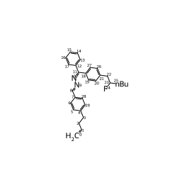 C=CCCc1ccc(C=NN=C(c2ccccc2)c2ccc(CC(F)CCCC)cc2)cc1